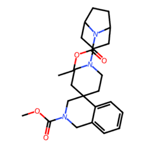 CCOC(=O)N1C2CCC1CC(N1CCC3(CC1)CN(C(=O)OC)Cc1ccccc13)C2